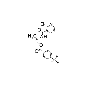 C[C@@H](COC(=O)c1ccc(C(F)(F)F)cc1)NC(=O)c1cccnc1Cl